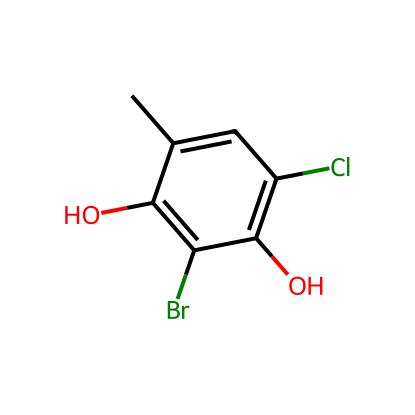 Cc1cc(Cl)c(O)c(Br)c1O